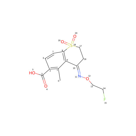 Cc1c(C(=O)O)ccc2c1C(=NOCCF)CCS2(=O)=O